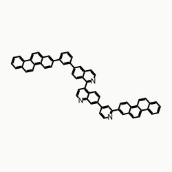 c1cc(-c2ccc3c(-c4ccnc5cc(-c6ccnc(-c7ccc8c(ccc9c%10ccccc%10ccc89)c7)c6)ccc45)nccc3c2)cc(-c2ccc3c(ccc4c5ccccc5ccc34)c2)c1